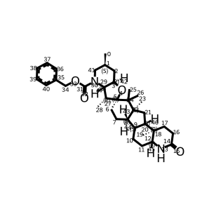 C[C@H]1C[C@H]2O[C@]3(CC[C@H]4[C@@H]5CC[C@H]6NC(=O)CC[C@]6(C)[C@H]5C[C@]4(C)C3(C)C)[C@H](C)[C@@H]2N(C(=O)OCc2ccccc2)C1